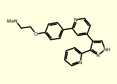 CNCCOc1ccc(-c2cc(-c3c[nH]nc3-c3ccccn3)ccn2)cc1